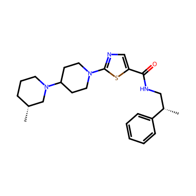 C[C@@H]1CCCN(C2CCN(c3ncc(C(=O)NC[C@H](C)c4ccccc4)s3)CC2)C1